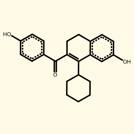 O=C(C1=C(C2CCCCC2)c2cc(O)ccc2CC1)c1ccc(O)cc1